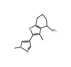 Cc1c(-c2cnn(C)c2)oc2c1C(N)CCC2